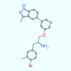 Cc1cc(C[C@H](N)COc2cncc(-c3ccc4[nH]nc(C)c4c3)c2)ccc1Br